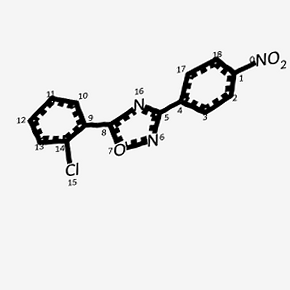 O=[N+]([O-])c1ccc(-c2noc(-c3ccccc3Cl)n2)cc1